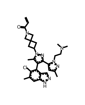 C=CC(=O)N1CC2(CC(n3nc(-c4cc(C)nn4CCN(C)C)c(-c4c(Cl)c(C)cc5[nH]ncc45)c3C)C2)C1